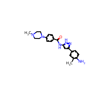 Cc1cc(-c2cc(NC(=O)c3ccc(N4CCN(C)CC4)cc3)[nH]n2)ccc1N